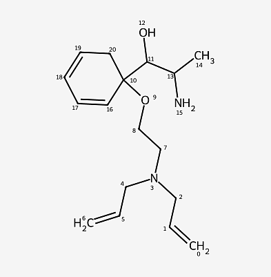 C=CCN(CC=C)CCOC1(C(O)C(C)N)C=CC=CC1